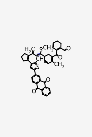 C=C(/C=C(\SC)C1C=CC(C)=C(C(=O)C2=C(C=O)CCC=C2)C1)C1=C(c2cc(-c3ccc4c(c3)C(=O)c3ccccc3C4=O)sc2C)CCC1